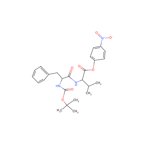 CC(C)C(NC(=O)C(Cc1ccccc1)NC(=O)OC(C)(C)C)C(=O)Oc1ccc([N+](=O)[O-])cc1